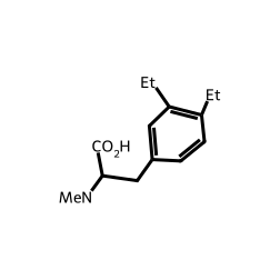 CCc1ccc(CC(NC)C(=O)O)cc1CC